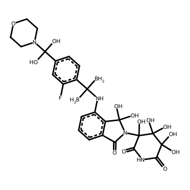 BC(B)(Nc1cccc2c1C(O)(O)N(C1(O)C(=O)NC(=O)C(O)(O)C1(O)O)C2=O)c1ccc(C(O)(O)N2CCOCC2)cc1F